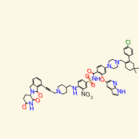 CC1(C)CCC(CN2CCN(c3ccc(C(=O)NS(=O)(=O)c4ccc(NCC5CCN(CC#Cc6cccc7c6C(=O)N(C6CCC(=O)NC6=O)C7)CC5)c([N+](=O)[O-])c4)c(Oc4cnc5[nH]ccc5c4)c3)CC2)=C(c2ccc(Cl)cc2)C1